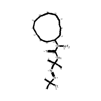 CCC(C)(C)/N=N/C(C)(C)NC(=S)N(N)C1CCCCCCCCCCC1